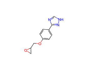 c1nc(-c2ccc(OCC3CO3)cc2)n[nH]1